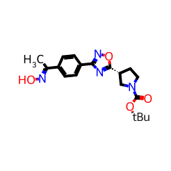 CC(=NO)c1ccc(-c2noc([C@@H]3CCN(C(=O)OC(C)(C)C)C3)n2)cc1